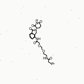 CC(C)CC(=O)NCCOCCOCC(=O)Nc1cccc2c1CN(C1CCC(=O)NC1=O)C2=O